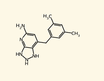 Cc1cc(C)cc(Cc2cc(N)nc3c2NNN3)c1